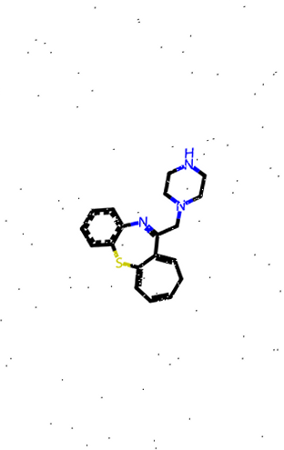 C1=CCC=C2C(=C1)Sc1ccccc1N=C2CN1CCNCC1